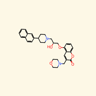 O=c1oc2cccc(OC[C@@H](O)CN3CCC(c4ccc5ccccc5c4)CC3)c2cc1CN1CCOCC1